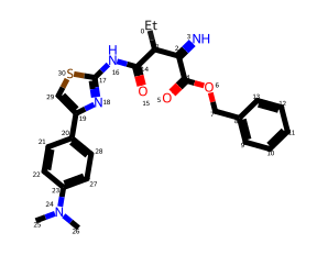 CCC(C(=N)C(=O)OCc1ccccc1)C(=O)Nc1nc(-c2ccc(N(C)C)cc2)cs1